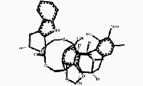 COc1c(C)cc2c(c1O)[C@H]1[C@@H]3[C@@H]4SC[C@]5(N[C@H](C)Cc6c5[nH]c5ccccc65)C(=O)OC[C@@H](c5c6c(c(C)c(OC(C)=O)c54)OCO6)N3[C@@H](C#N)[C@H](C2)N1C